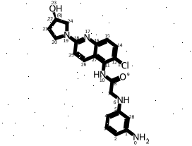 Nc1cccc(NCC(=O)Nc2c(Cl)ccc3nc(N4CC[C@@H](O)C4)ccc23)c1